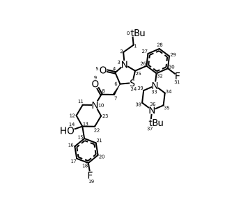 CC(C)(C)CCN1C(=O)[C@H](CC(=O)N2CCC(O)(c3ccc(F)cc3)CC2)SC1c1cccc(F)c1N1CCN(C(C)(C)C)CC1